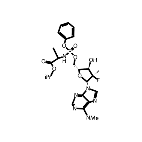 CNc1ncnc2c1ncn2[C@@H]1O[C@H](COP(=O)(NC(C)C(=O)OC(C)C)Oc2ccccc2)[C@@H](O)[C@@]1(C)F